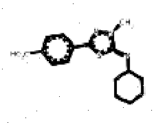 Cn1nc(-c2ccc(C(=O)O)cc2)sc1=NC1CCCCC1